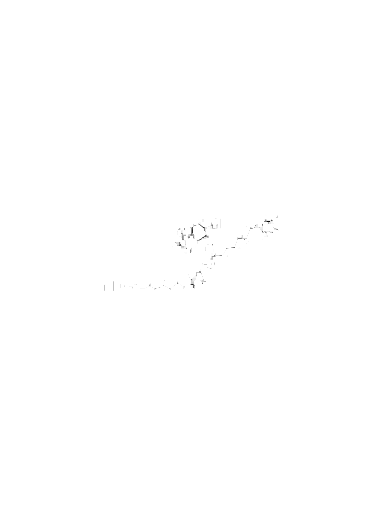 CCCCCCCCCCCCCCCCC[C@@H]1OC[C@@H](COC(=O)CCCCCC[n+]2ccsc2)O1.Cc1ccc(S(=O)(=O)[O-])cc1